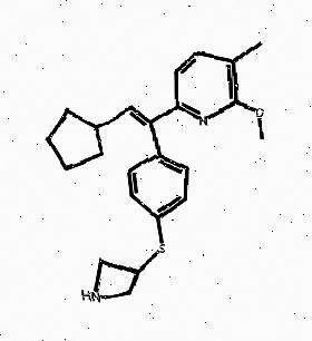 COc1nc(C(=CC2CCCC2)c2ccc(SC3CNC3)cc2)ccc1C